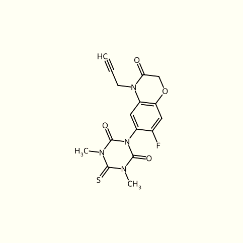 C#CCN1C(=O)COc2cc(F)c(-n3c(=O)n(C)c(=S)n(C)c3=O)cc21